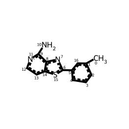 Cc1cccc(-c2nc3c(N)nccc3s2)c1